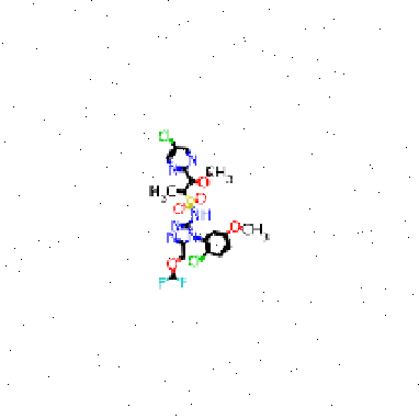 COc1ccc(Cl)c(-n2c(COC(F)F)nnc2NS(=O)(=O)C(C)C(OC)c2ncc(Cl)cn2)c1